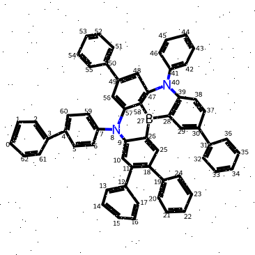 c1ccc(-c2ccc(N3c4cc(-c5ccccc5)c(-c5ccccc5)cc4B4c5cc(-c6ccccc6)ccc5N(c5ccccc5)c5cc(-c6ccccc6)cc3c54)cc2)cc1